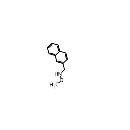 CONCc1ccc2ccccc2c1